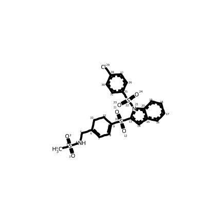 CS(=O)(=O)NCC1=CC=C(S(=O)(=O)c2cc3ccccc3n2S(=O)(=O)c2ccc(Cl)cc2)CC1